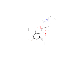 CON1CCC2(CC1)OC(=O)C(c1c(C)cc(Br)cc1C)C2=O